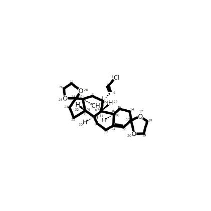 C[C@]12C[C@H](C=CCl)[C@H]3[C@@H](CCC4=CC5(CC[C@@H]43)OCCO5)[C@@H]1CCC21OCCO1